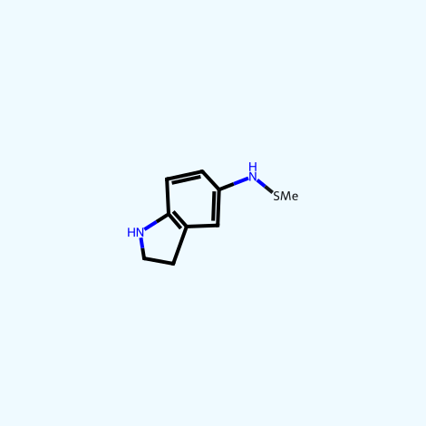 CSNc1ccc2c(c1)CCN2